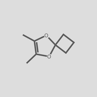 CC1=C(C)OC2(CCC2)O1